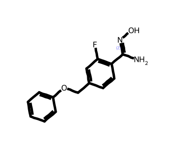 N/C(=N\O)c1ccc(COc2ccccc2)cc1F